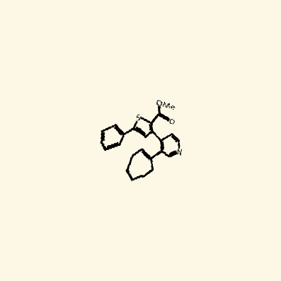 COC(=O)c1sc(-c2ccccc2)cc1-c1ccncc1C1=CCCCCC1